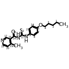 CCCCCOc1ccc(NC(=S)NC(=O)c2cnccc2C)cc1